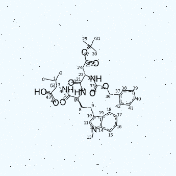 CC(C)[C@H](NC(=O)[C@H](CCc1cn(C)c2ccccc12)NC(=O)C(CC(=O)OC(C)(C)C)NC(=O)OCc1ccccc1)C(=O)O